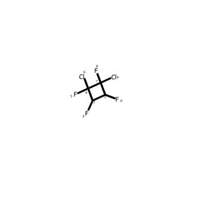 FC1C(F)C(F)(Cl)C1(F)Cl